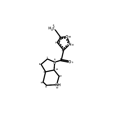 Cc1cc(C(=O)N2CCC3CCNCC32)no1